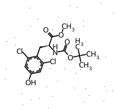 COC(=O)[C@H](Cc1c(Cl)cc(O)cc1Cl)NC(=O)OC(C)(C)C